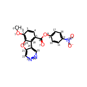 COc1ccc(C(=O)Oc2ccc([N+](=O)[O-])cc2)c2c1oc1cnncc12